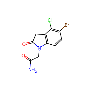 NC(=O)CN1C(=O)Cc2c1ccc(Br)c2Cl